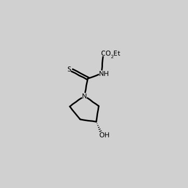 CCOC(=O)NC(=S)N1CC[C@@H](O)C1